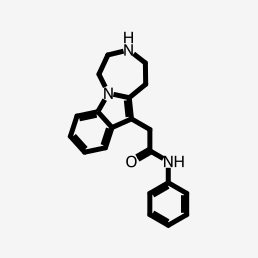 O=C(Cc1c2n(c3ccccc13)CCNCC2)Nc1ccccc1